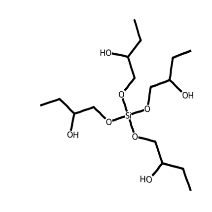 CCC(O)CO[Si](OCC(O)CC)(OCC(O)CC)OCC(O)CC